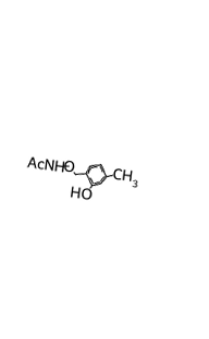 CC(=O)NOCc1ccc(C)cc1O